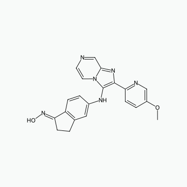 COc1ccc(-c2nc3cnccn3c2Nc2ccc3c(c2)CC/C3=N\O)nc1